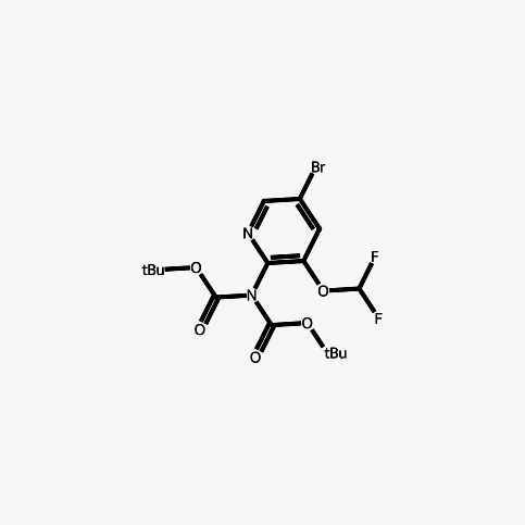 CC(C)(C)OC(=O)N(C(=O)OC(C)(C)C)c1ncc(Br)cc1OC(F)F